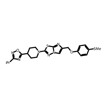 CSc1ccc(OCc2cn3nc(N4CCC(c5nc(C(C)C)no5)CC4)sc3n2)cc1